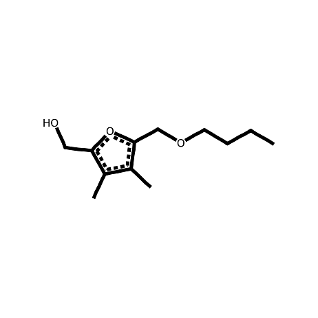 CCCCOCc1oc(CO)c(C)c1C